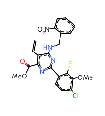 C=Cc1c(NCc2ccccc2[N+](=O)[O-])nc(-c2ccc(Cl)c(OC)c2F)nc1C(=O)OC